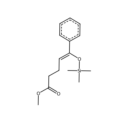 COC(=O)CCC=C(O[Si](C)(C)C)c1ccccc1